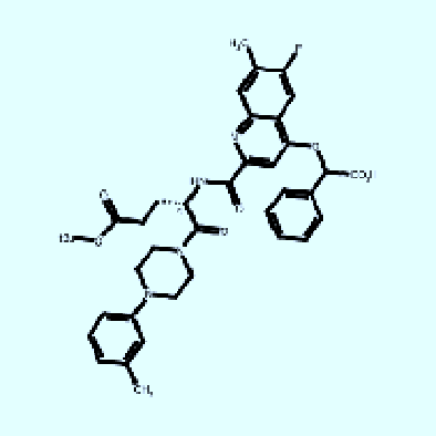 Cc1cccc(N2CCN(C(=O)[C@H](CCC(=O)OC(C)(C)C)NC(=O)c3cc(OC(C(=O)O)c4ccccc4)c4cc(F)c(C)cc4n3)CC2)c1